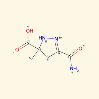 CC1(C(=O)O)CC(C(N)=O)=NN1